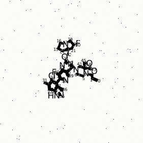 C=CC(=O)N1CCN(c2nc(OC[C@@]34CCCN3C[C@H](F)C4)nc3c(F)c(-c4c(Cl)c(C)cc5[nH]ncc45)ncc23)CC12COC2